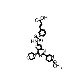 COc1ccc(-c2nc(N3CCOCC3)c3sc(NS(=O)(=O)c4cccc(/C=C/C(=O)O)c4)cc3n2)cn1